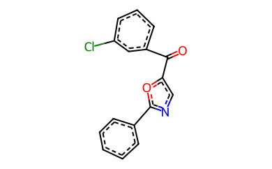 O=C(c1cccc(Cl)c1)c1cnc(-c2ccccc2)o1